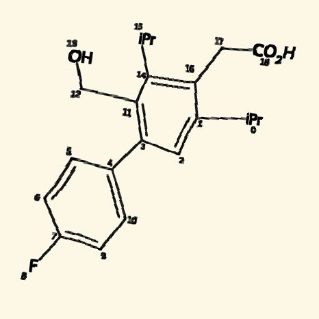 CC(C)c1cc(-c2ccc(F)cc2)c(CO)c(C(C)C)c1CC(=O)O